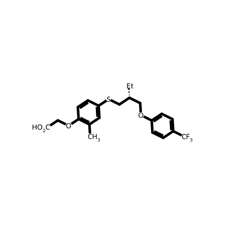 CC[C@H](COc1ccc(C(F)(F)F)cc1)CSc1ccc(OCC(=O)O)c(C)c1